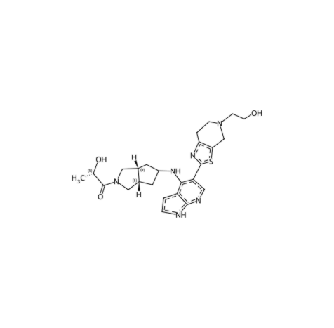 C[C@H](O)C(=O)N1C[C@H]2CC(Nc3c(-c4nc5c(s4)CN(CCO)CC5)cnc4[nH]ccc34)C[C@H]2C1